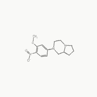 COc1cc(N2CCN3CCCC3C2)ccc1[N+](=O)[O-]